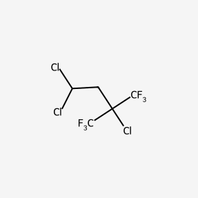 FC(F)(F)C(Cl)(CC(Cl)Cl)C(F)(F)F